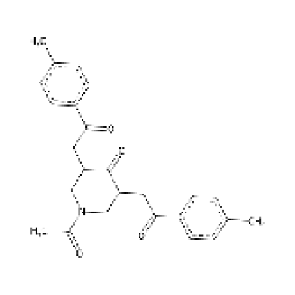 CC(=O)N1CC(CC(=O)c2ccc(C)cc2)C(=O)C(CC(=O)c2ccc(C)cc2)C1